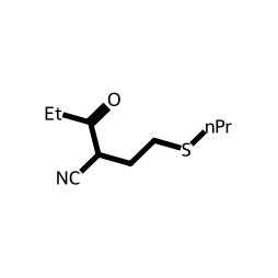 CCCSCCC(C#N)C(=O)CC